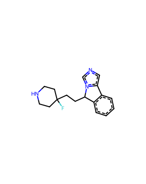 FC1(CCC2c3ccccc3-c3cncn32)CCNCC1